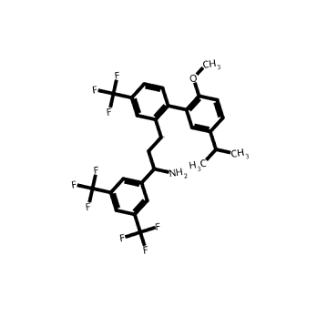 COc1ccc(C(C)C)cc1-c1ccc(C(F)(F)F)cc1[CH]CC(N)c1cc(C(F)(F)F)cc(C(F)(F)F)c1